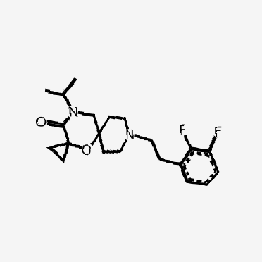 CC(C)N1CC2(CCN(CCc3cccc(F)c3F)CC2)OC2(CC2)C1=O